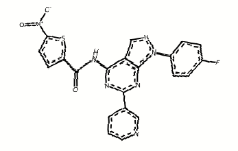 O=C(Nc1nc(-c2cccnc2)nc2c1cnn2-c1ccc(F)cc1)c1ccc([N+](=O)[O-])s1